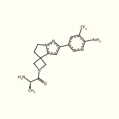 C[C@@H](N)C(=O)N1CC2(CCn3nc(-c4cnc([AsH2])c(C(F)(F)F)c4)cc32)C1